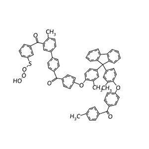 Cc1ccc(C(=O)c2ccc(Oc3ccc(C4(c5ccc(Oc6ccc(C(=O)c7ccc(-c8ccc(C)c(C(=O)c9cccc(SOOO)c9)c8)cc7)cc6)c(C)c5)c5ccccc5-c5ccccc54)cc3C)cc2)cc1